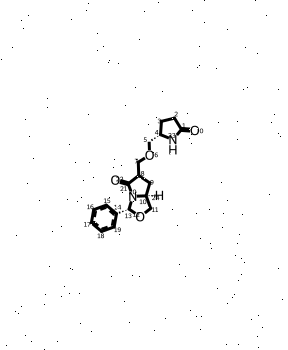 O=C1CC[C@@H](COCC2C[C@H]3CO[C@H](c4ccccc4)N3C2=O)N1